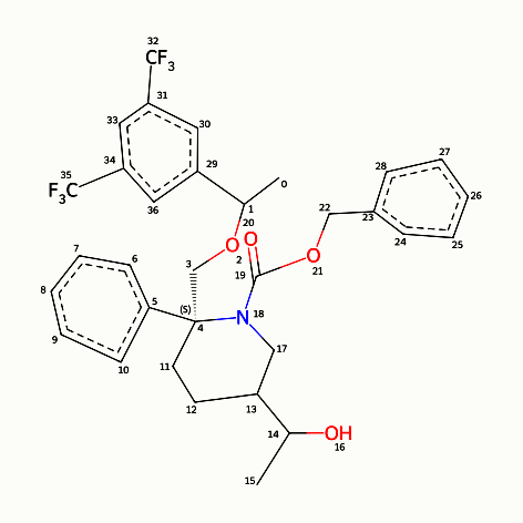 CC(OC[C@@]1(c2ccccc2)CCC(C(C)O)CN1C(=O)OCc1ccccc1)c1cc(C(F)(F)F)cc(C(F)(F)F)c1